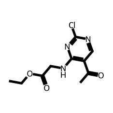 CCOC(=O)CNc1nc(Cl)ncc1C(C)=O